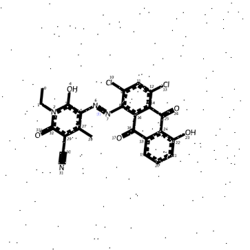 CCn1c(O)c(/N=N/c2c(Cl)cc(Cl)c3c2C(=O)c2cccc(O)c2C3=O)c(C)c(C#N)c1=O